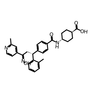 Cc1cc(/C(C[C@H](c2ccc(C(=O)N[C@H]3CC[C@H](C(=O)O)CC3)cc2)c2ccccc2C)=N/O)ccn1